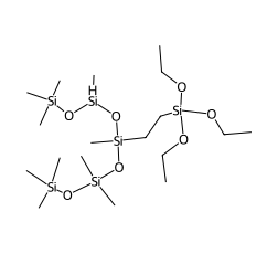 CCO[Si](CC[Si](C)(O[SiH](C)O[Si](C)(C)C)O[Si](C)(C)O[Si](C)(C)C)(OCC)OCC